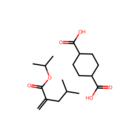 C=C(CC(C)C)C(=O)OC(C)C.O=C(O)C1CCC(C(=O)O)CC1